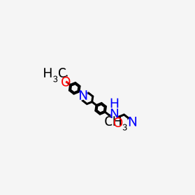 CCOc1ccc(N2CCC(c3ccc(C(C)NC(=O)CC#N)cc3)CC2)cc1